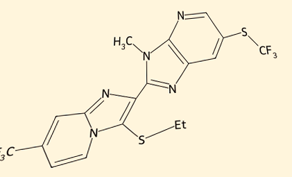 CCSc1c(-c2nc3cc(SC(F)(F)F)cnc3n2C)nc2cc(C(F)(F)F)ccn12